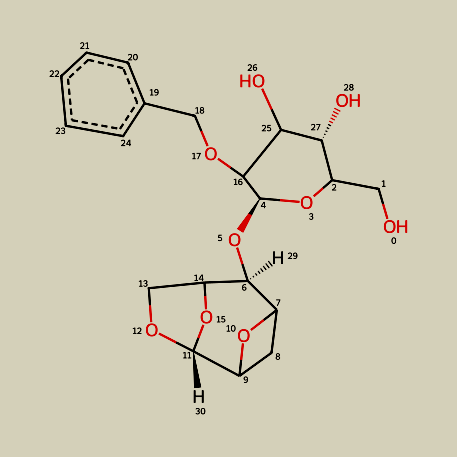 OCC1O[C@@H](O[C@H]2C3CC(O3)[C@@H]3OCC2O3)C(OCc2ccccc2)C(O)[C@@H]1O